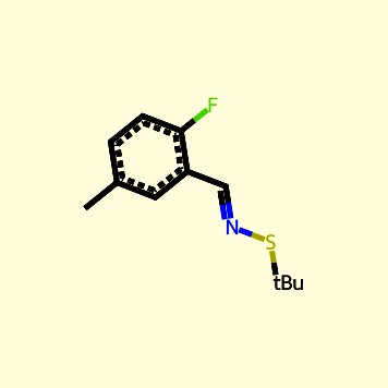 Cc1ccc(F)c(C=NSC(C)(C)C)c1